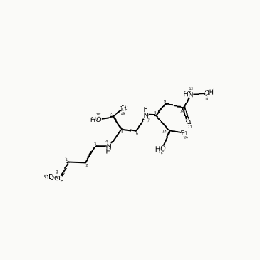 CCCCCCCCCCCCCNC(CNC(CC(=O)NO)C(O)CC)C(O)CC